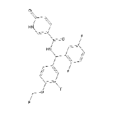 O=C(NC(c1ccc(OCF)c(F)c1)c1cc(F)ccc1F)c1ccc(=O)[nH]c1